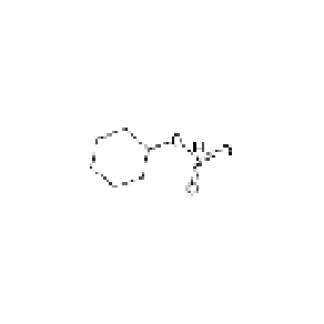 O=[SH](=O)OC1CCCCC1